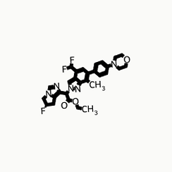 CCOC(=O)C(c1ncn2c1C[C@@H](F)C2)n1cc2c(C(F)F)cc(-c3ccc(N4CCOCC4)cc3)c(C)c2n1